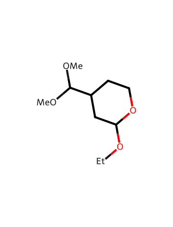 CCOC1CC(C(OC)OC)CCO1